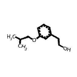 CC(C)COc1cccc(CCO)c1